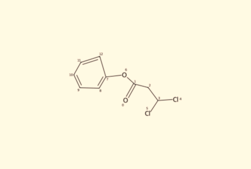 O=C(CC(Cl)Cl)Oc1ccccc1